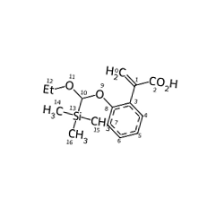 C=C(C(=O)O)c1ccccc1OC(OCC)[Si](C)(C)C